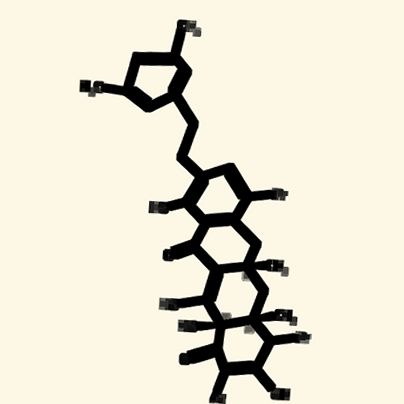 CC(=O)C1=C(O)C(C(C)C)[C@@]2(C)C[C@@]3(C)Cc4c(C(C)C)cc(CCc5cc(C)cc(C)c5)c(O)c4C(=O)C3=C(O)[C@@]2(O)C1=O